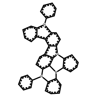 c1ccc(N2c3ccccc3B3c4ccccc4-n4c5ccc6c(c7ccccc7n6-c6ccccc6)c5c5ccc2c3c54)cc1